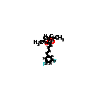 CC(C)O[Si](O)(CCCCc1cc(F)cc(F)c1)OC(C)C